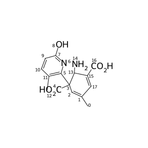 CC1=CC(C(=O)O)(c2nc(O)ccc2C)C(N)C(C(=O)O)=C1